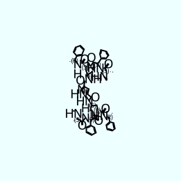 CN[C@@H](C)C(=O)N[C@H](C(=O)N1C[C@@H](NC(=O)c2cc(C(=O)N[C@H]3C[C@@H](C(=O)N[C@H](C)c4ccccc4)N(C(=O)[C@@H](NC(=O)[C@H](C)NC)c4ccccc4)C3)[nH]n2)C[C@H]1C(=O)N[C@H](C)c1ccccc1)c1ccccc1